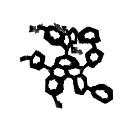 CC(C)(C)c1ccc(N2c3ccc(C(C)(C)C)cc3B3c4ccc(-c5ccccc5)cc4N(c4cccc(-c5ccccc5)c4)c4cc(N5c6ccc(N)cc6C6(C)CCCC56C)cc2c43)cc1